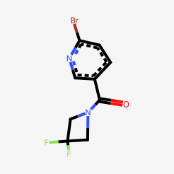 O=C(c1ccc(Br)nc1)N1CC(F)(F)C1